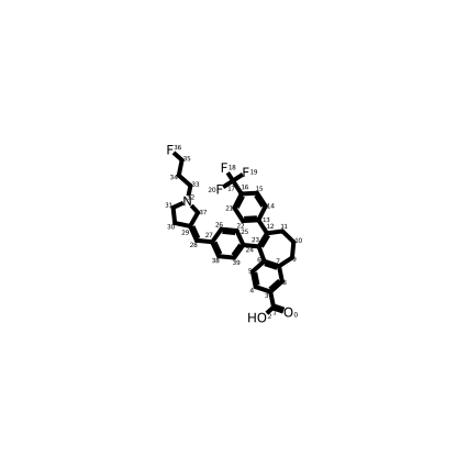 O=C(O)c1ccc2c(c1)CCCC(c1ccc(C(F)(F)F)cc1)=C2c1ccc(C=C2CCN(CCCF)C2)cc1